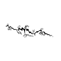 CC(=O)N(O)CCCCCNC(=O)CCC(=O)N(O)CCCCCNC(=O)CCC(=O)N(O)CCCCCN.OCC(S)CS